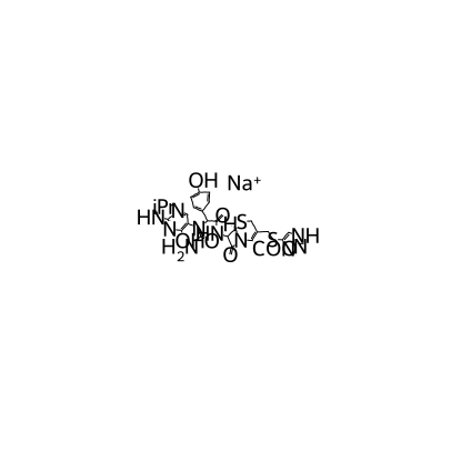 CC(C)Nc1ncc(N(C(N)=O)C(C(=O)NC2C(=O)N3C(C(=O)[O-])=C(CSc4c[nH]nn4)CS[C@H]23)c2ccc(O)cc2)c(O)n1.[Na+]